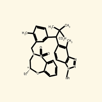 CCCn1nnc2c(C)c(C(c3ccc(C)c(CN4C[C@@H](CC)Oc5ccccc5S4(=O)=O)c3)C(C)(C)C(=O)O)ccc21